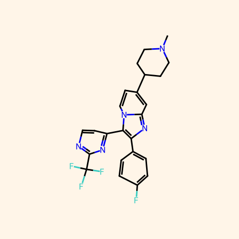 CN1CCC(c2ccn3c(-c4ccnc(C(F)(F)F)n4)c(-c4ccc(F)cc4)nc3c2)CC1